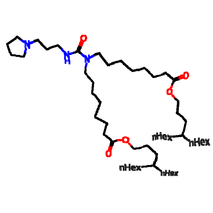 CCCCCCC(CCCCCC)CCCOC(=O)CCCCCCCN(CCCCCCCC(=O)OCCCC(CCCCCC)CCCCCC)C(=O)NCCCN1CCCC1